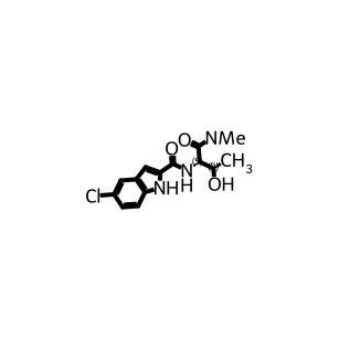 CNC(=O)[C@@H](NC(=O)c1cc2cc(Cl)ccc2[nH]1)[C@@H](C)O